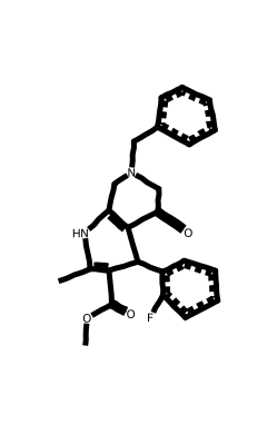 COC(=O)C1=C(C)NC2=C(C(=O)CN(Cc3ccccc3)C2)C1c1ccccc1F